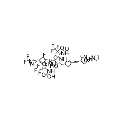 COC(=O)NC(C(=O)NC(Cc1ccc(C#Cc2ccc(N3CC4CCC(C3)N4C3COC3)nc2C)cc1)C(O)CN(Cc1c(F)cc(-c2cnn(C(F)F)c2)cc1F)NC(=O)C(NC(=O)O)C(C)(C)C(F)(F)F)C(C)(C)C(F)(F)F